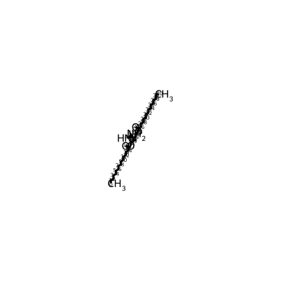 CCCCCCCCCCCCCCCC(=O)OCCN(CCOC(=O)CCCCCCCCCCCCCCC)C(=N)N